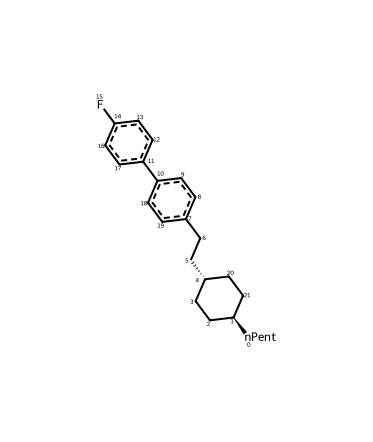 CCCCC[C@H]1CC[C@H](CCc2ccc(-c3ccc(F)cc3)cc2)CC1